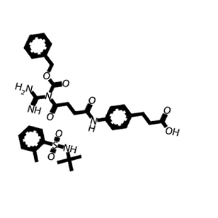 Cc1ccccc1S(=O)(=O)NC(C)(C)C.N=C(N)N(C(=O)CCC(=O)Nc1ccc(CCC(=O)O)cc1)C(=O)OCc1ccccc1